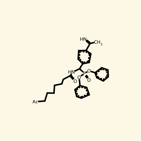 CC(=N)c1ccc(C(NC(=O)CCCCCCC(C)=O)P(=O)(Oc2ccccc2)Oc2ccccc2)cc1